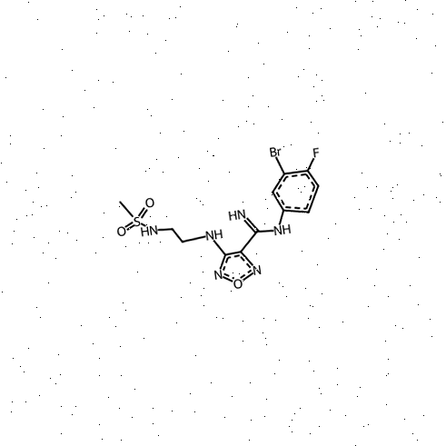 CS(=O)(=O)NCCNc1nonc1C(=N)Nc1ccc(F)c(Br)c1